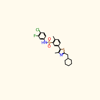 Cc1ccc(-c2sc(CC3CCCCC3)nc2C)cc1S(=O)(=O)Nc1ccc(Cl)c(F)c1